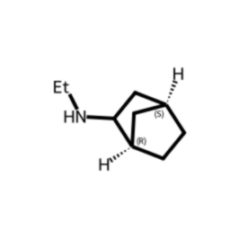 CCNC1C[C@H]2CC[C@@H]1C2